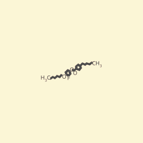 CCCCCCCOc1ccc(OC(=O)c2ccc(CCCCCC)cc2)cc1F